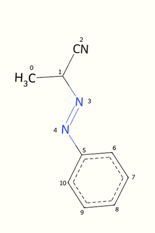 CC(C#N)N=Nc1ccccc1